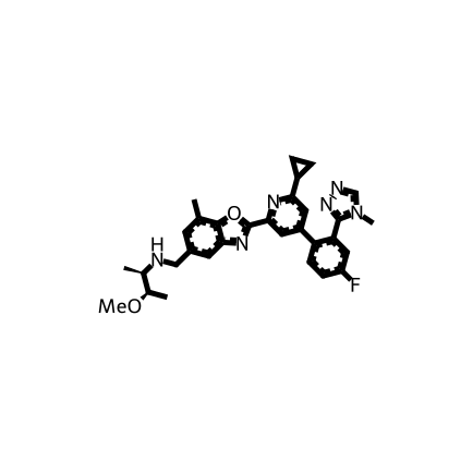 CO[C@H](C)[C@@H](C)NCc1cc(C)c2oc(-c3cc(-c4ccc(F)cc4-c4nncn4C)cc(C4CC4)n3)nc2c1